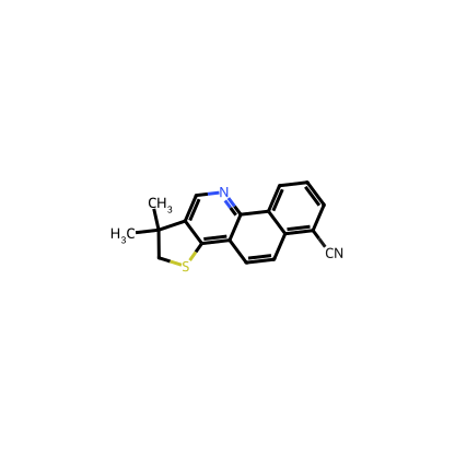 CC1(C)CSc2c1cnc1c2ccc2c(C#N)cccc21